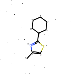 Cc1csc(C2CCCCC2)n1